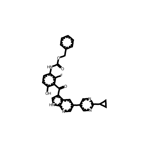 O=C(Nc1ccc(O)c(C(=O)c2c[nH]c3ncc(-c4cnc(C5CC5)nc4)cc23)c1F)OCc1ccccc1